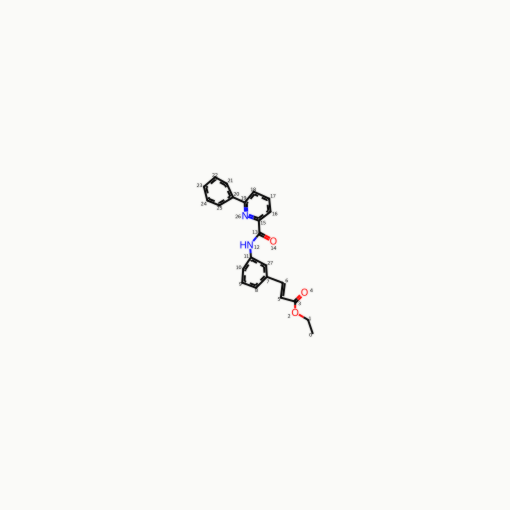 CCOC(=O)/C=C/c1cccc(NC(=O)c2cccc(-c3ccccc3)n2)c1